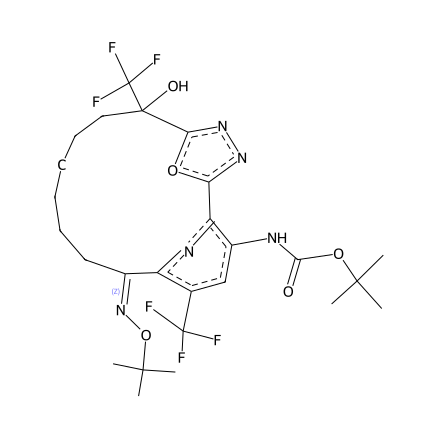 CC(C)(C)O/N=C1/CCCCCCC(O)(C(F)(F)F)c2nnc(o2)-c2nc1c(C(F)(F)F)cc2NC(=O)OC(C)(C)C